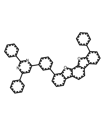 c1ccc(-c2cc(-c3cccc(-c4cccc5c4oc4c5ccc5c6cccc(-c7ccccc7)c6oc54)c3)nc(-c3ccccc3)n2)cc1